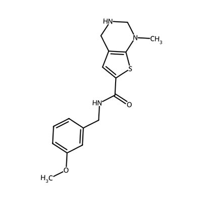 COc1cccc(CNC(=O)c2cc3c(s2)N(C)CNC3)c1